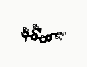 Cc1cc(-c2ccc(C3CCc4ccc(CC(C)C(=O)O)cc4O3)cc2CN(C)C2CC2)c(F)cn1